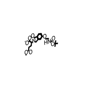 COC(=O)CCC(C(=O)OC)N1Cc2cc(OCCNC(=O)OC(C)(C)C)ccc2C1=O